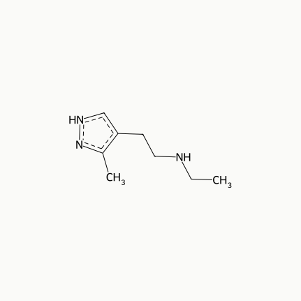 CCNCCc1c[nH]nc1C